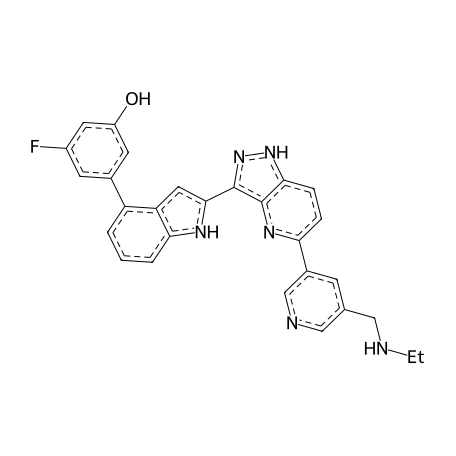 CCNCc1cncc(-c2ccc3[nH]nc(-c4cc5c(-c6cc(O)cc(F)c6)cccc5[nH]4)c3n2)c1